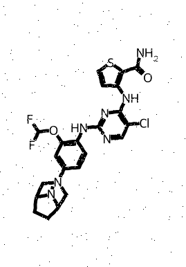 CN1C2CCC1CN(c1ccc(Nc3ncc(Cl)c(Nc4ccsc4C(N)=O)n3)c(OC(F)F)c1)C2